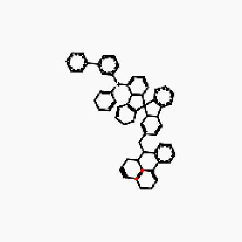 C1#CCC(C(CC2=CC3C(C=C2)c2ccccc2C32C3=C(C=CCC3)C3C(N(C4=CCCC=C4)c4cccc(-c5ccccc5)c4)=CC=CC32)c2ccccc2C2=CCCC=C2)CC1